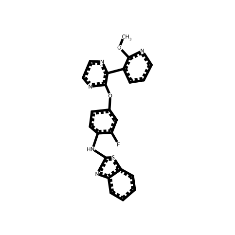 COc1ncccc1-c1nccnc1Oc1ccc(Nc2nc3ccccc3s2)c(F)c1